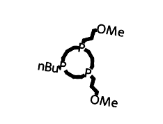 CCCCP1CCCP(CCCOC)CCCP(CCCOC)CCC1